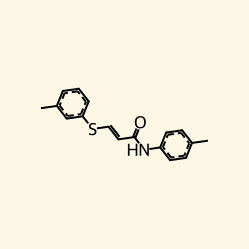 Cc1ccc(NC(=O)C=CSc2cccc(C)c2)cc1